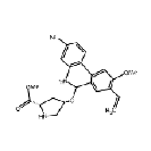 C=Cc1cc2c(cc1OC)-c1ccc(C#N)cc1NC2O[C@H]1CN[C@H](C(=O)OC)C1